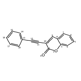 O=c1oc2ccccc2cc1C#Cc1ccccc1